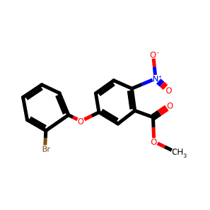 COC(=O)c1cc(Oc2ccccc2Br)ccc1[N+](=O)[O-]